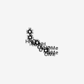 COc1cc(C(=O)NC(=O)Nc2cccc(N[C@H](C)C(=O)Nc3ccc(-c4ccccc4)cc3)c2)cc(OC)c1OC